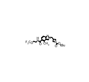 Cc1c(C(=O)NCCOC(F)(F)F)ccc2nn(CC3CN(C(=O)OC(C)(C)C)C3)cc12